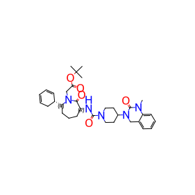 CN1C(=O)N(C2CCN(C(=O)N[C@@H]3CCC[C@H](C4C=CC=CC4)N(CC(=O)OC(C)(C)C)C3=O)CC2)Cc2ccccc21